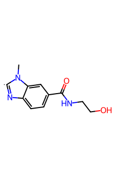 Cn1[c]nc2ccc(C(=O)NCCO)cc21